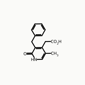 Cc1c[nH]c(=O)c(Cc2ccccc2)c1CC(=O)O